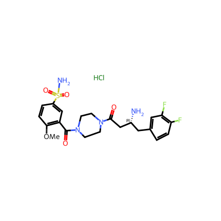 COc1ccc(S(N)(=O)=O)cc1C(=O)N1CCN(C(=O)C[C@H](N)Cc2ccc(F)c(F)c2)CC1.Cl